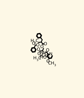 COc1ccnc(C(=O)NC(COC(=O)C(Cc2ccccc2)C(C)OC(=O)c2ccccc2)C(=O)OC(C)C)c1O